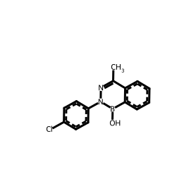 CC1=NN(c2ccc(Cl)cc2)B(O)c2ccccc21